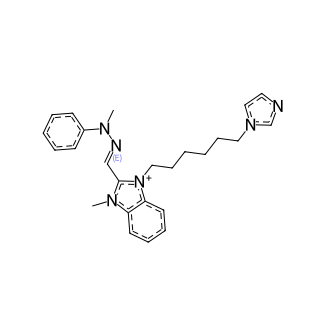 CN(/N=C/c1n(C)c2ccccc2[n+]1CCCCCCn1ccnc1)c1ccccc1